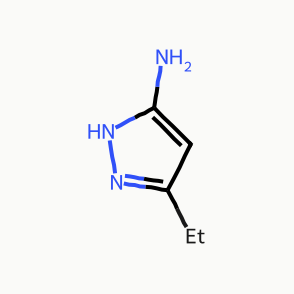 [CH2]Cc1cc(N)[nH]n1